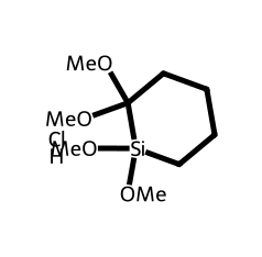 COC1(OC)CCCC[Si]1(OC)OC.Cl